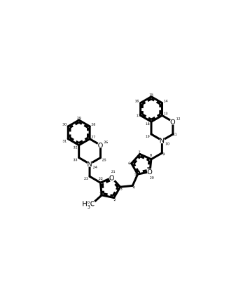 Cc1cc(Cc2ccc(CN3COc4ccccc4C3)o2)oc1CN1COc2ccccc2C1